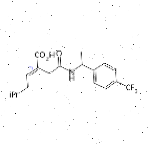 CC(C)C/C=C(\CC(=O)NC(C)c1ccc(C(F)(F)F)cc1)C(=O)O